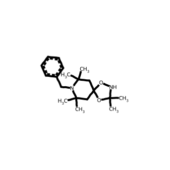 CC1(C)NOC2(CC(C)(C)N(Cc3ccccc3)C(C)(C)C2)O1